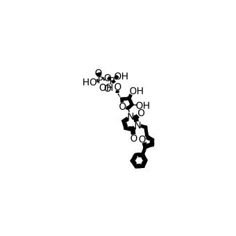 O=c1ccn([C@@H]2O[C@H](COP(=O)(O)OP(=O)(O)O)C(O)[C@@H]2O)c(=O)n1Cc1ccc(-c2ccccc2)o1